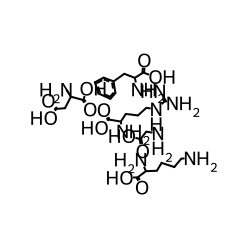 N=C(N)NCCCC(N)C(=O)O.NC(CC(=O)O)C(=O)O.NC(Cc1ccccc1)C(=O)O.NCC(=O)O.NCCCCC(N)C(=O)O